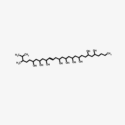 CCCCC(O)CC(O)CCC(O)CC(O)CC(O)CC(O)C/C=C/C(O)CC(O)CC(O)CCC(C)C(C)C